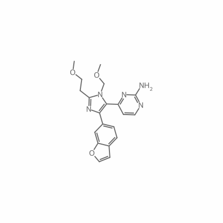 COCCc1nc(-c2ccc3ccoc3c2)c(-c2ccnc(N)n2)n1COC